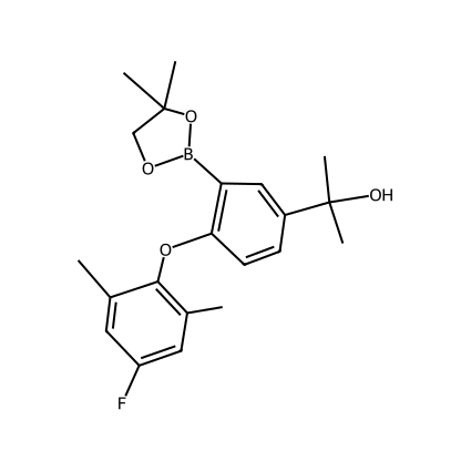 Cc1cc(F)cc(C)c1Oc1ccc(C(C)(C)O)cc1B1OCC(C)(C)O1